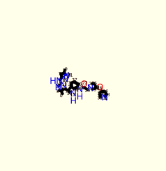 Cc1cnc(Nc2cc(C)n(C)n2)nc1-c1c[nH]c2c(NC(=O)CN3CC[C@H](Oc4ccncc4)C3)cccc12